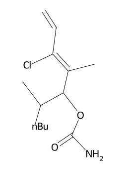 C=C/C(Cl)=C(\C)C(OC(N)=O)C(C)CCCC